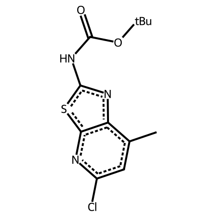 Cc1cc(Cl)nc2sc(NC(=O)OC(C)(C)C)nc12